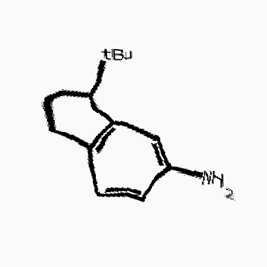 CC(C)(C)C1CCc2ccc(N)cc21